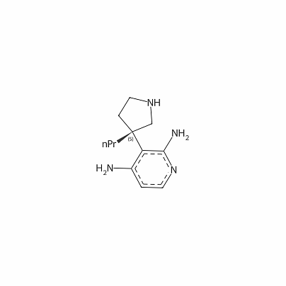 CCC[C@@]1(c2c(N)ccnc2N)CCNC1